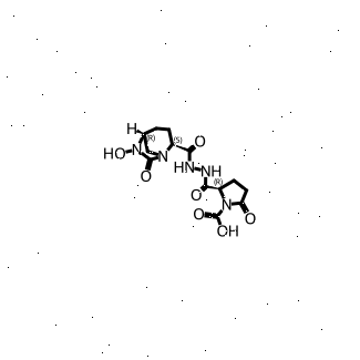 O=C(NNC(=O)[C@@H]1CC[C@@H]2CN1C(=O)N2O)[C@H]1CCC(=O)N1C(=O)O